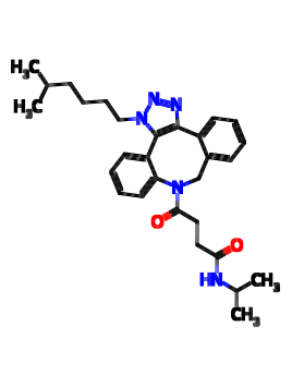 CC(C)CCCCn1nnc2c1-c1ccccc1N(C(=O)CCC(=O)NC(C)C)Cc1ccccc1-2